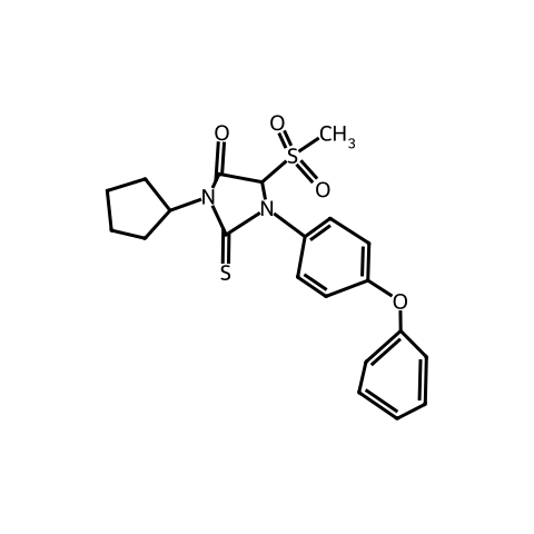 CS(=O)(=O)C1C(=O)N(C2CCCC2)C(=S)N1c1ccc(Oc2ccccc2)cc1